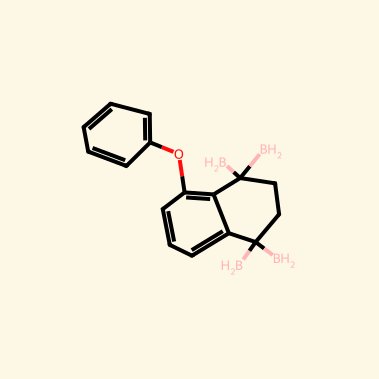 BC1(B)CCC(B)(B)c2c(Oc3ccccc3)cccc21